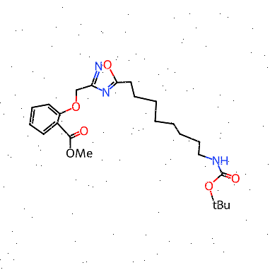 COC(=O)c1ccccc1OCc1noc(CCCCCCCCNC(=O)OC(C)(C)C)n1